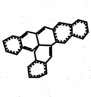 C1=C2C=c3ccccc3=CC23Cc2ccccc2C=C3c2cc3ccccc3cc21